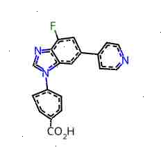 O=C(O)c1ccc(-n2cnc3c(F)cc(-c4ccncc4)cc32)cc1